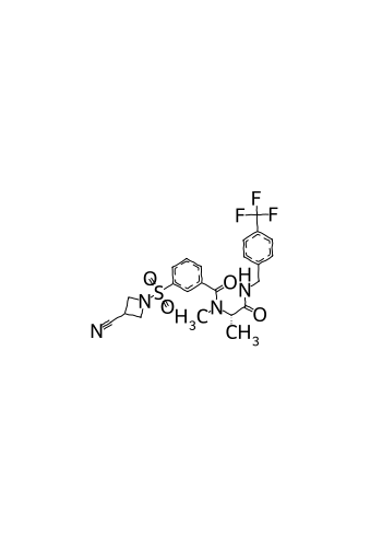 C[C@@H](C(=O)NCc1ccc(C(F)(F)F)cc1)N(C)C(=O)c1cccc(S(=O)(=O)N2CC(C#N)C2)c1